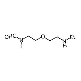 CCNCCOCCN(C)C=O